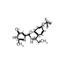 CC[C@@H](NC(=O)c1cc(=O)[nH]c(C)n1)c1ccc(OC(F)(F)F)cc1